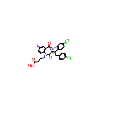 O=C(O)CCCN1C(=O)[C@H]([C@H](Cc2ccc(Cl)cc2)c2ccc(Cl)cc2)NC(=O)c2cc(I)ccc21